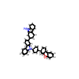 c1ccc2c(c1)[nH]c1cc(-c3ccc4c5ccccc5n(-c5ccc(-c6ccc7c(c6)oc6ccccc67)cc5)c4c3)ccc12